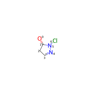 O=C1CC=NN1Cl